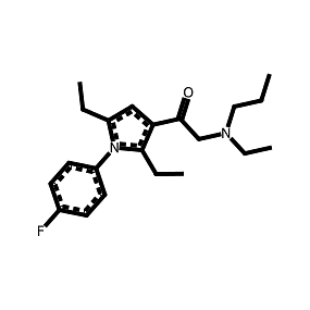 CCCN(CC)CC(=O)c1cc(CC)n(-c2ccc(F)cc2)c1CC